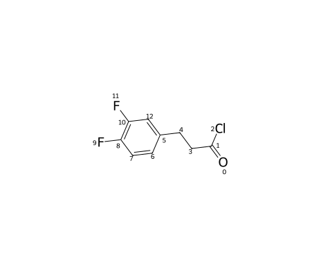 O=C(Cl)CCc1ccc(F)c(F)c1